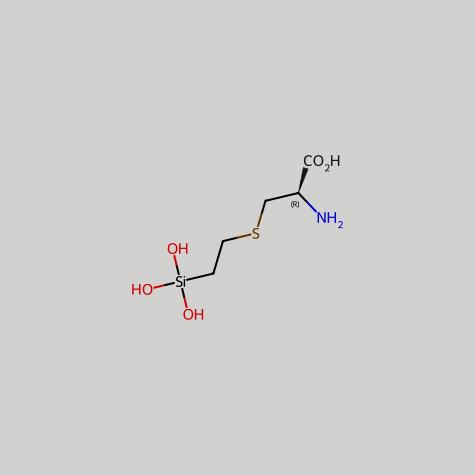 N[C@@H](CSCC[Si](O)(O)O)C(=O)O